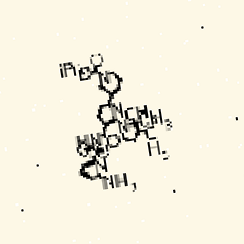 CC(C)OC(=O)N1CCC=C(c2ccc(C(=O)NS(=O)(=O)c3cccc(N)n3)c(N3CCC(C)C3(C)C)n2)C1